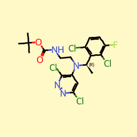 C[C@H](c1c(Cl)ccc(F)c1Cl)N(CCNC(=O)OC(C)(C)C)c1cc(Cl)nnc1Cl